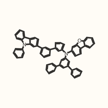 c1ccc(-c2cc(-c3ccccc3)cc(N(c3cccc(-c4cccc(-c5ccc6c7ccccc7n(-c7ccccc7)c6c5)c4)c3)c3ccc4c(c3)oc3ccccc34)c2)cc1